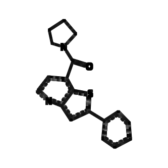 O=C(c1ccnc2cc(-c3ccccc3)sc12)N1CCCC1